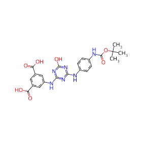 CC(C)(C)OC(=O)Nc1ccc(Nc2nc(O)nc(Nc3cc(C(=O)O)cc(C(=O)O)c3)n2)cc1